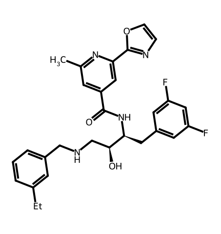 CCc1cccc(CNC[C@H](O)[C@H](Cc2cc(F)cc(F)c2)NC(=O)c2cc(C)nc(-c3ncco3)c2)c1